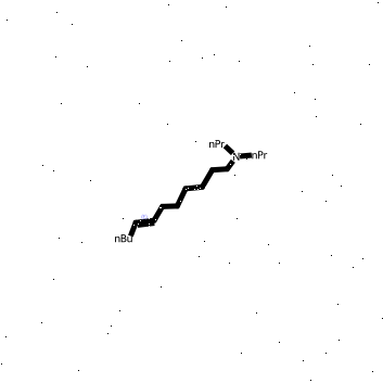 CCCC/C=C/CCCCCCN(CCC)CCC